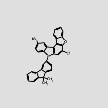 CC(C)(C)c1ccc2c(c1)c1c3c(oc4ccccc43)c(Cl)cc1n2-c1ccc2c(c1)-c1ccccc1C2(C)C